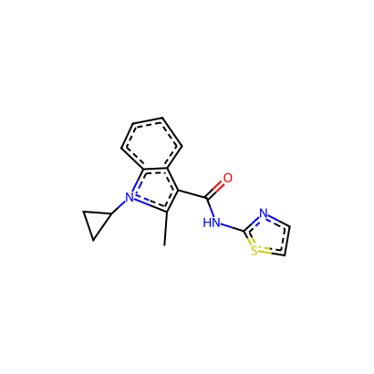 Cc1c(C(=O)Nc2nccs2)c2ccccc2n1C1CC1